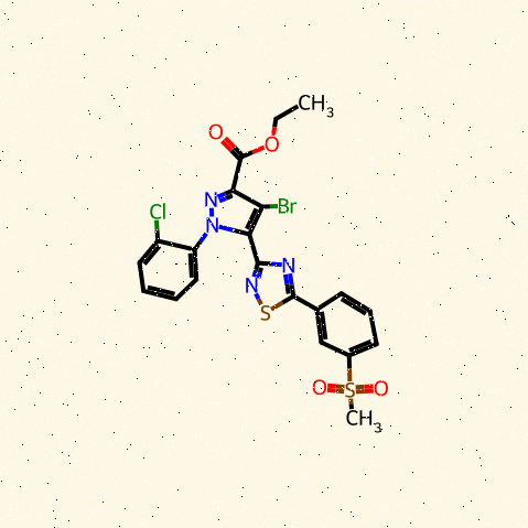 CCOC(=O)c1nn(-c2ccccc2Cl)c(-c2nsc(-c3cccc(S(C)(=O)=O)c3)n2)c1Br